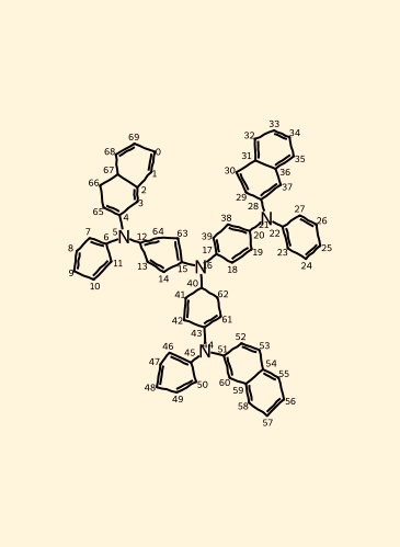 C1=CC2=CC(N(c3ccccc3)c3ccc(N(c4ccc(N(c5ccccc5)c5ccc6ccccc6c5)cc4)C4C=CC(N(c5ccccc5)c5ccc6ccccc6c5)=CC4)cc3)=CCC2C=C1